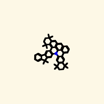 CC1(C)CCC(C)(C)c2cc(N(c3ccccc3)c3cc4c(cc3-c3cccc5c3C(C)(C)CCC5(C)C)-c3ccccc3C4(C)C)c(-c3ccccc3)cc21